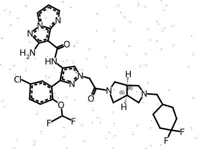 Nc1nn2cccnc2c1C(=O)Nc1cn(CC(=O)N2C[C@H]3CN(CC4CCC(F)(F)CC4)C[C@H]3C2)nc1-c1cc(Cl)ccc1OC(F)F